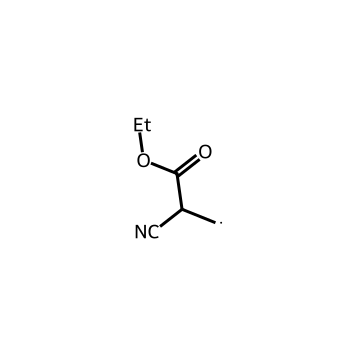 [CH2]C(C#N)C(=O)OCC